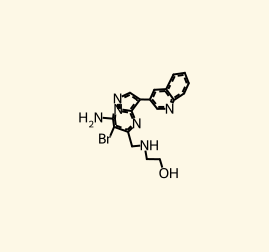 Nc1c(Br)c(CNCCO)nc2c(-c3cnc4ccccc4c3)cnn12